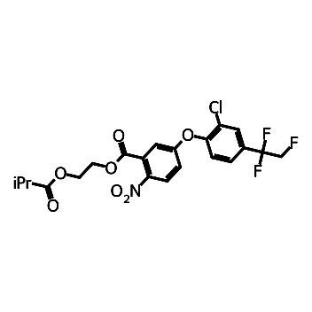 CC(C)C(=O)OCCOC(=O)c1cc(Oc2ccc(C(F)(F)CF)cc2Cl)ccc1[N+](=O)[O-]